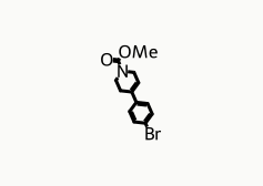 COC(=O)N1CC=C(c2ccc(Br)cc2)CC1